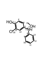 CO.Oc1ccc(Nc2ccccc2)cc1Cl